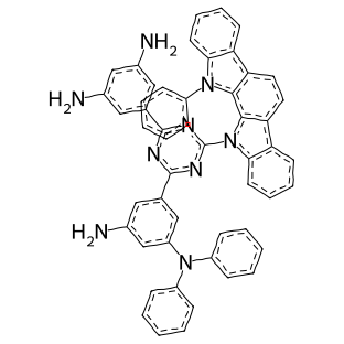 Nc1cc(N)cc(-c2nc(-c3cc(N)cc(N(c4ccccc4)c4ccccc4)c3)nc(-n3c4ccccc4c4ccc5c6ccccc6n(-c6ccccc6)c5c43)n2)c1